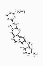 COC[C@@H]1CN(C2=NC(=O)C(=Cc3ccc4c(cnn4Cc4ccc(O)cc4C(F)(F)F)c3)S2)CCO1